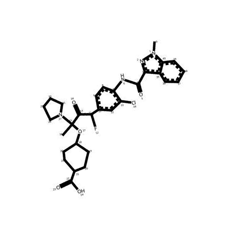 Cn1nc(C(=O)Nc2ccc(C(F)C(=O)C(C)(OC3CCC(C(=O)O)CC3)N3CCCC3)cc2Cl)c2ccccc21